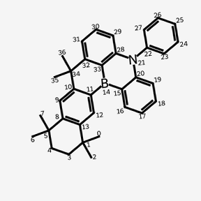 CC1(C)CCC(C)(C)c2cc3c(cc21)B1c2ccccc2N(c2ccccc2)c2cccc(c21)C3(C)C